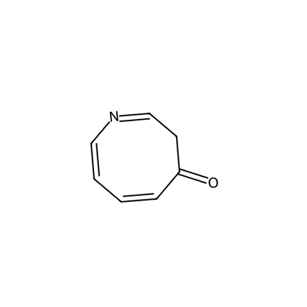 O=C1\C=C/C=C\N=C/C1